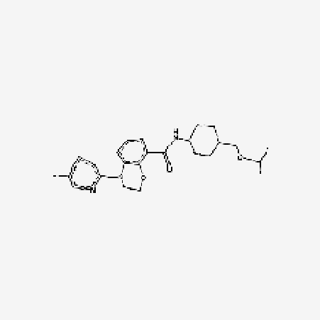 Cc1ccc(N2CCOc3c(C(=O)NC4CCC(COC(C)C)CC4)cccc32)nc1